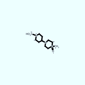 CP1(=O)CCN(C2CCN(C(=O)O)CC2)CC1